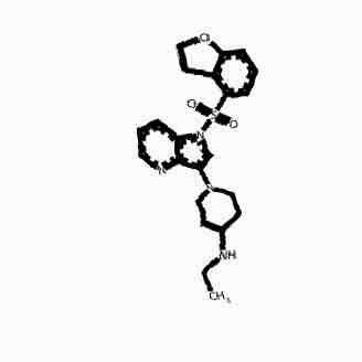 CCNC1CCN(c2cn(S(=O)(=O)c3cccc4c3CCO4)c3cccnc23)CC1